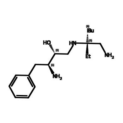 CC[C@@H](C)[C@](CC)(CN)NC[C@@H](O)[C@@H](N)Cc1ccccc1